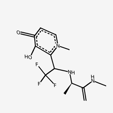 C=C(NC)[C@@H](C)NC(c1c(O)c(=O)ccn1C)C(F)(F)F